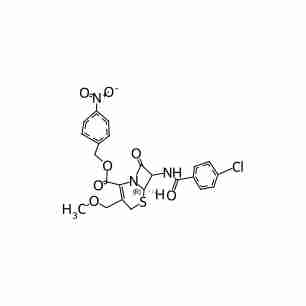 COCC1=C(C(=O)OCc2ccc([N+](=O)[O-])cc2)N2C(=O)C(NC(=O)c3ccc(Cl)cc3)[C@H]2SC1